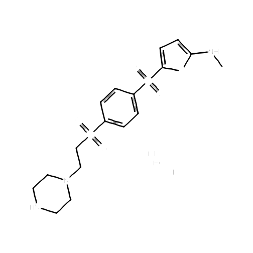 CNc1ccc(S(=O)(=O)c2ccc(S(=O)(=O)CCN3CCNCC3)cc2)s1.Cl.Cl.Cl